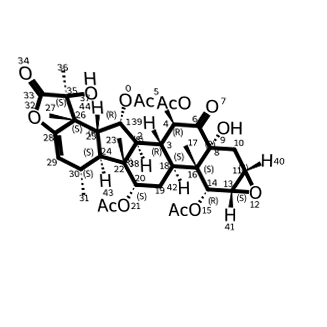 CC(=O)O[C@@H]1[C@H]2[C@@H]3[C@@H](OC(C)=O)C(=O)[C@@]4(O)C[C@@H]5O[C@@H]5[C@H](OC(C)=O)[C@]4(C)[C@H]3C[C@H](OC(C)=O)[C@]2(C)[C@@H]2[C@@H]1[C@]1(C)C(=C[C@H]2C)OC(=O)[C@@]1(C)O